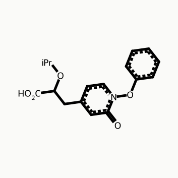 CC(C)OC(Cc1ccn(Oc2ccccc2)c(=O)c1)C(=O)O